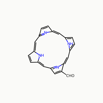 O=CC1=Cc2cc3ccc(cc4nc(cc5ccc(cc1n2)[nH]5)C=C4)[nH]3